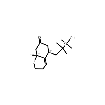 CC(C)(C[C@@H]1CC(=O)C[C@H]2OCCC=C12)[Si](C)(C)O